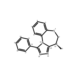 C[C@@H]1CSc2ccccc2-n2c(-c3ccccc3)nnc21